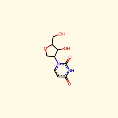 O=c1ccn(C2COC(CO)C2O)c(=O)[nH]1